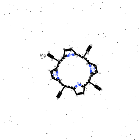 C#Cc1c2nc(c(C#C)c3ccc([nH]3)c(C#C)c3nc(c(C#C)c4ccc1[nH]4)C=C3)C=C2.[Mg]